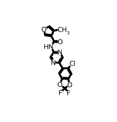 Cc1cocc1C(=O)Nc1cnc(-c2cc3c(cc2Cl)OC(F)(F)O3)cn1